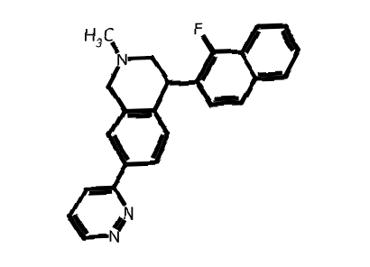 CN1Cc2cc(-c3cccnn3)ccc2C(c2ccc3ccccc3c2F)C1